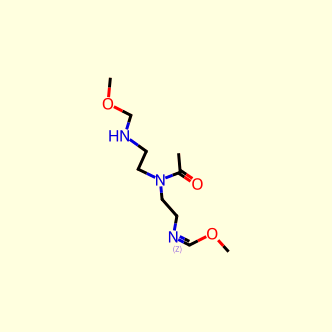 CO/C=N\CCN(CCNCOC)C(C)=O